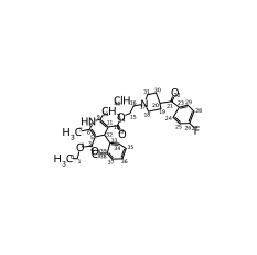 CCOC(=O)C1=C(C)NC(C)=C(C(=O)OCCN2CCC(C(=O)c3ccc(F)cc3)CC2)C1c1ccccc1Cl.Cl